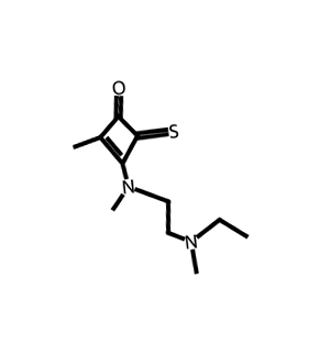 CCN(C)CCN(C)c1c(C)c(=O)c1=S